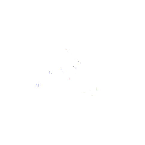 CCS(=O)(=O)c1cc2ccn(CC#N)c2nc1-n1ncc2ccc(C(F)(F)F)cc2c1=O